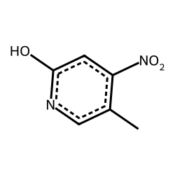 Cc1cnc(O)cc1[N+](=O)[O-]